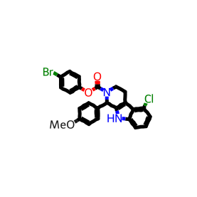 COc1ccc(C2c3[nH]c4cccc(Cl)c4c3CCN2C(=O)Oc2ccc(Br)cc2)cc1